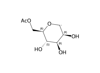 CC(=O)OC[C@H]1O[CH][C@@H](O)[C@@H](O)[C@@H]1O